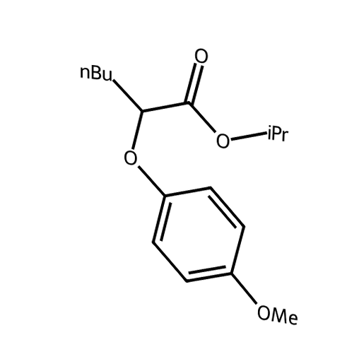 CCCCC(Oc1ccc(OC)cc1)C(=O)OC(C)C